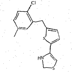 Cc1ccc(Cl)c(Cc2ccc(C3=CSCN3)s2)c1